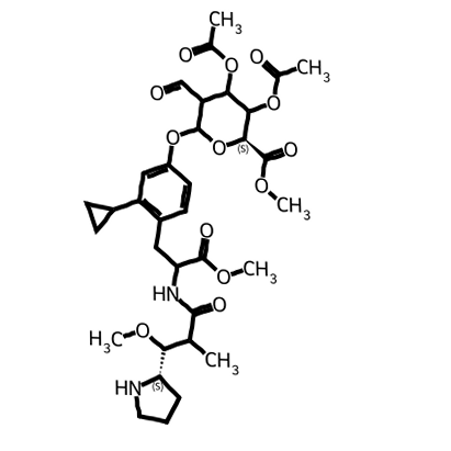 COC(=O)C(Cc1ccc(OC2O[C@H](C(=O)OC)C(OC(C)=O)C(OC(C)=O)C2C=O)cc1C1CC1)NC(=O)C(C)C(OC)[C@@H]1CCCN1